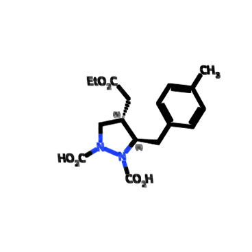 CCOC(=O)C[C@H]1CN(C(=O)O)N(C(=O)O)[C@@H]1Cc1ccc(C)cc1